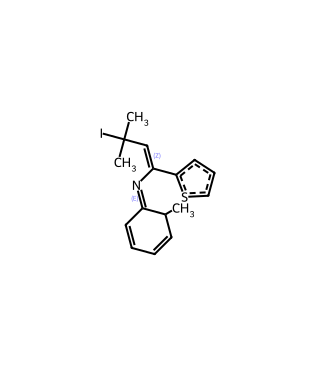 CC1C=CC=C/C1=N/C(=C\C(C)(C)I)c1cccs1